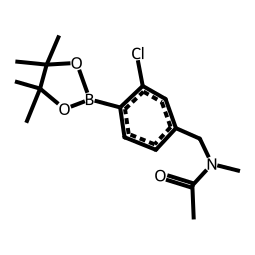 CC(=O)N(C)Cc1ccc(B2OC(C)(C)C(C)(C)O2)c(Cl)c1